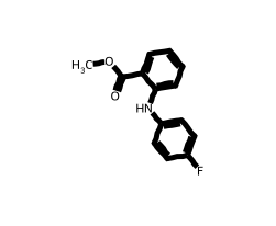 COC(=O)c1ccccc1Nc1ccc(F)cc1